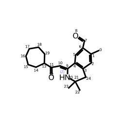 Cc1cc2c(cc1C=O)/C(=C/C(=O)C1CCCCCC1)NC(C)(C)C2